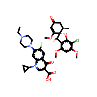 CCN1CCN(c2cc3c(cc2F)c(=O)c(C(=O)O)cn3C2CC2)CC1.COC1=CC(=O)C[C@@H](C)[C@]12Oc1c(Cl)c(OC)cc(OC)c1C2=O